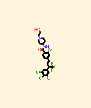 O=C(NC1CCN(CCO)CC1)c1ccc(C=CC(c2cc(Cl)c(Cl)c(Cl)c2)C(F)(F)F)cc1Br